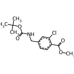 COC(=O)c1ccc(CNC(=O)OC(C)(C)C)cc1Cl